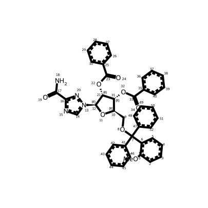 COc1ccccc1C(OC[C@H]1O[C@@H](n2cnc(C(N)=O)n2)[C@H](OC(=O)c2ccccc2)[C@@H]1OC(=O)c1ccccc1)(c1ccccc1)c1ccccc1